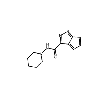 O=C(NN1CCCCC1)C1=NN=C2C=CC=C21